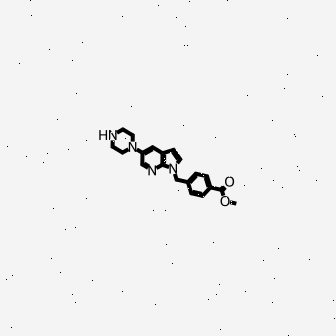 COC(=O)c1ccc(Cn2ccc3cc(N4CCNCC4)cnc32)cc1